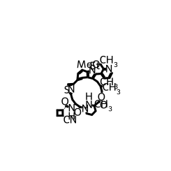 CCn1c(-c2cccnc2[C@H](C)OC)c2c3cc(ccc31)-c1csc(n1)C[C@H](NC(=O)[C@H]1CC[C@@H]1C#N)C(=O)N1CCC[C@@](C)(N1)C(=O)OCC(C)(C)C2